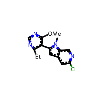 CCc1ncnc(OC)c1-c1cc2cc(Cl)ncc2n1C